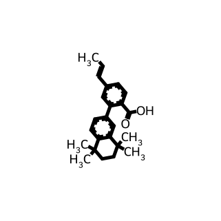 C/C=C/c1ccc(C(=O)O)c(-c2ccc3c(c2)C(C)(C)CCC3(C)C)c1